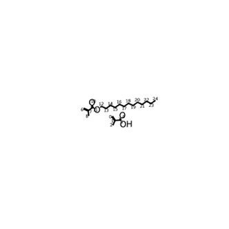 C=C(C)C(=O)O.C=C(C)C(=O)OCCCCCCCCCCCCC